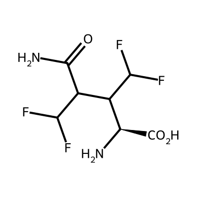 NC(=O)C(C(F)F)C(C(F)F)[C@H](N)C(=O)O